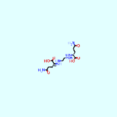 NC(=O)CC[C@H](NNCCNN[C@@H](CCC(N)=O)C(=O)O)C(=O)O